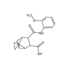 COc1ccccc1NC(=O)C1C(C(=O)O)C2C=CC1C21CC1